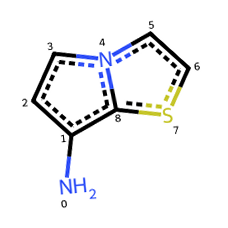 Nc1ccn2ccsc12